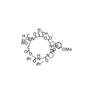 C=C1OC(=O)C(Cc2ccc(OC)cc2)N(C)C(=O)[C@@H]2CCCN2C(=O)[C@H](CC(C)C)NC(=O)[C@H](C(C)C)OC(=O)C[C@H](O)/C(=C(/C)CC)NC(=O)C1=C